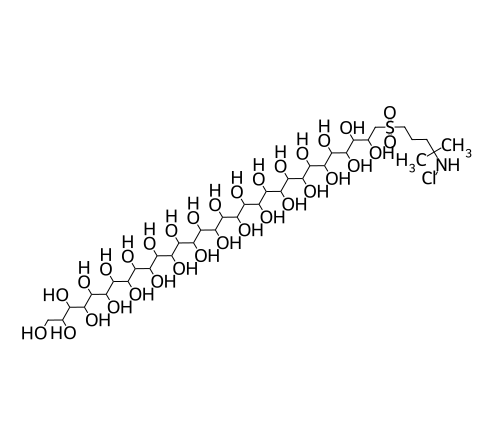 CC(C)(CCCS(=O)(=O)CC(O)C(O)C(O)C(O)C(O)C(O)C(O)C(O)C(O)C(O)C(O)C(O)C(O)C(O)C(O)C(O)C(O)C(O)C(O)C(O)C(O)C(O)C(O)C(O)C(O)C(O)C(O)C(O)C(O)CO)NCl